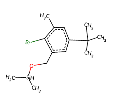 Cc1cc(C(C)(C)C)cc(CO[SiH](C)C)c1Br